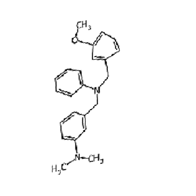 COc1cccc(CN(Cc2cccc(N(C)C)c2)c2ccccc2)c1